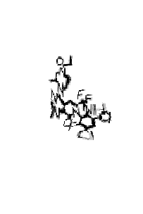 C=CC(=O)N1CCN(c2ncnc3c(=O)n(-c4c(N)c(Cl)cc(Cl)c4F)c(C(F)(F)F)cc23)C(C)C1